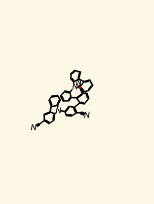 N#Cc1ccc2c(c1)c1ccccc1n2-c1ccc(C#N)c(-c2cccc(C#N)c2-c2ccccc2-n2c3ccccc3c3ccccc32)c1